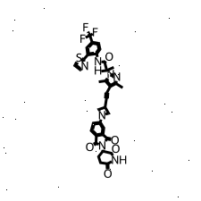 Cc1nn(C(C)(C)C(=O)Nc2ccc(C(F)(F)F)cc2-c2nccs2)c(C)c1C#CC1CN(c2ccc3c(c2)C(=O)N(C2CCC(=O)NC2=O)C3=O)C1